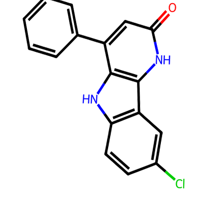 O=c1cc(-c2ccccc2)c2[nH]c3ccc(Cl)cc3c2[nH]1